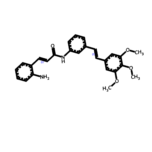 COc1cc(/C=C/c2cccc(NC(=O)/C=C/c3ccccc3N)c2)cc(OC)c1OC